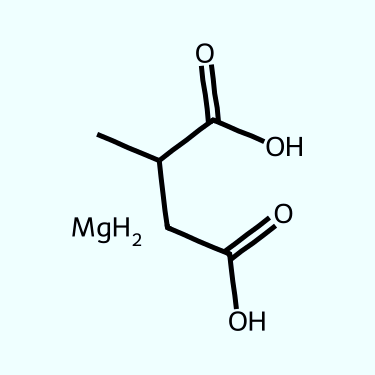 CC(CC(=O)O)C(=O)O.[MgH2]